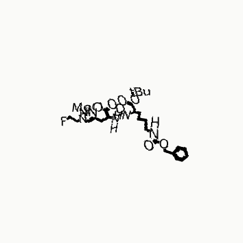 COC(=O)C(Cc1cn(CCF)nn1)NC(=O)NC(CCCCNC(=O)OCc1ccccc1)C(=O)OC(C)(C)C